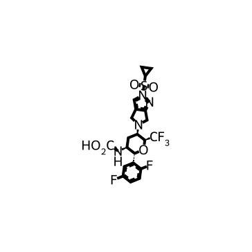 O=C(O)N[C@H]1C[C@@H](N2Cc3cn(S(=O)(=O)C4CC4)nc3C2)[C@@H](C(F)(F)F)O[C@@H]1c1cc(F)ccc1F